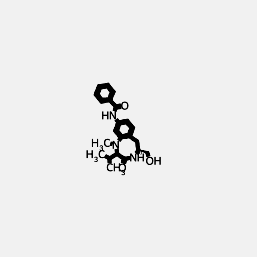 CC(C)C1C(=O)N[C@H](CO)Cc2ccc(NC(=O)c3ccccc3)cc2N1C